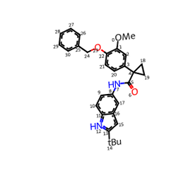 COc1cc(C2(C(=O)Nc3ccc4[nH]c(C(C)(C)C)cc4c3)CC2)ccc1OCc1ccccc1